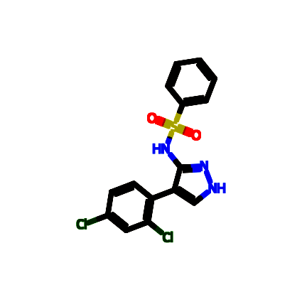 O=S(=O)(Nc1n[nH]cc1-c1ccc(Cl)cc1Cl)c1ccccc1